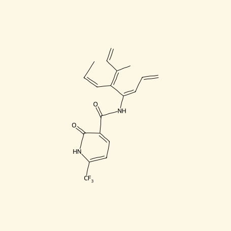 C=C/C=C(/NC(=O)c1ccc(C(F)(F)F)[nH]c1=O)C(/C=C\C)=C(C)C=C